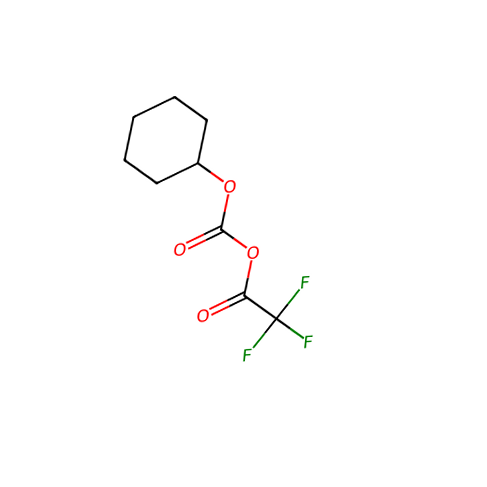 O=C(OC(=O)C(F)(F)F)OC1CCCCC1